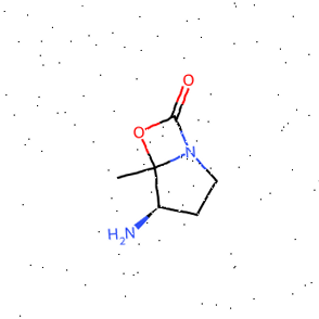 CC12OC(=O)N1CC[C@H]2N